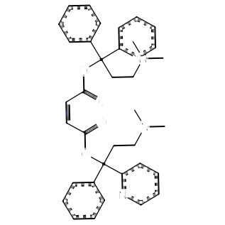 CN(C)CCC(OC(=O)/C=C\C(=O)OC(CCN(C)C)(c1ccccc1)c1ccccn1)(c1ccccc1)c1ccccn1